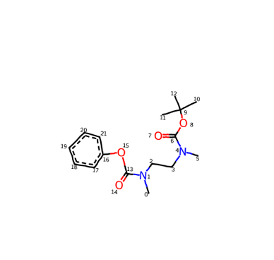 CN(CCN(C)C(=O)OC(C)(C)C)C(=O)Oc1ccccc1